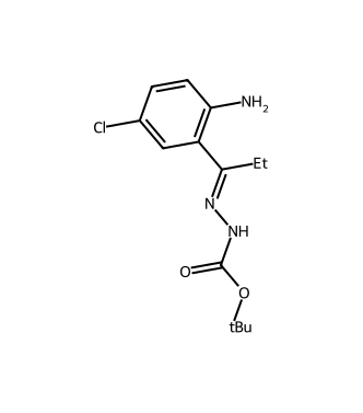 CC/C(=N\NC(=O)OC(C)(C)C)c1cc(Cl)ccc1N